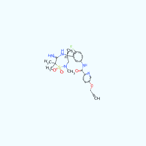 C#CCOc1ccc(C(=O)Nc2ccc(F)c([C@]3(C)CN(C)S(=O)(=O)C(C)(C)C(=N)N3)c2)nc1